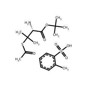 CC(=O)SC(C)(C)[C@H](N)C(=O)OC(C)(C)C.Cc1ccccc1S(=O)(=O)O